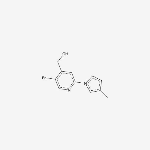 Cc1ccn(-c2cc(CO)c(Br)cn2)c1